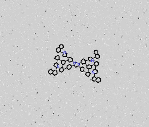 c1ccc(-c2cc(-c3ccccc3-c3ccc(-c4cccc5ccccc45)nc3)cc(-c3ccccc3-c3ccc(-c4cccc5ccccc45)nc3)c2)c(-c2ccc(-c3cc(-c4ccc(-c5ccccc5-c5cc(-c6ccccc6-c6ccc(-c7cccc8ccccc78)nc6)cc(-c6ccccc6-c6ccc(-c7cccc8ccccc78)nc6)c5)cc4)ncn3)cc2)c1